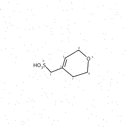 O=S(=O)(O)CC1=CCOCC1